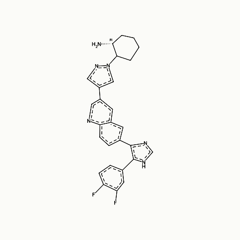 N[C@@H]1CCCCC1n1cc(-c2cnc3ccc(-c4nc[nH]c4-c4ccc(F)c(F)c4)cc3c2)cn1